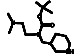 CN(C)CCN(CC1CCCNC1)C(=O)OC(C)(C)C